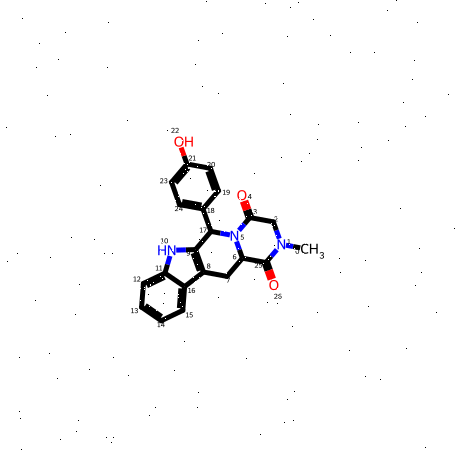 CN1CC(=O)N2C(Cc3c([nH]c4ccccc34)C2c2ccc(O)cc2)C1=O